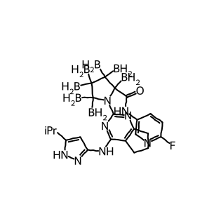 BC1(B)N(c2nc3c(c(Nc4cc(C(C)C)[nH]n4)n2)CCC3)C(B)(C(=O)Nc2ccc(F)nc2)C(B)(B)C1(B)B